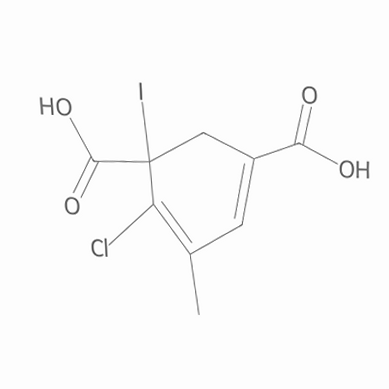 CC1=C(Cl)C(I)(C(=O)O)CC(C(=O)O)=C1